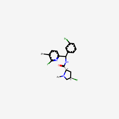 CC(=O)N1C[C@H](F)C[C@H]1C(=O)NC(c1cccc(Br)c1)c1ccc(C(C)C)c(F)n1